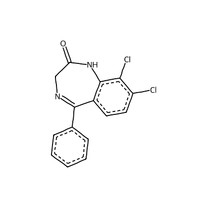 O=C1CN=C(c2ccccc2)c2ccc(Cl)c(Cl)c2N1